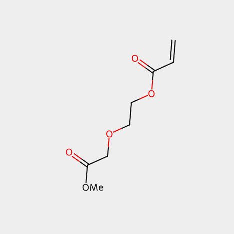 C=CC(=O)OCCOCC(=O)OC